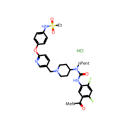 CCCCCN(C(=O)Nc1cc(C(=O)NC)c(F)cc1F)C1CCN(Cc2ccc(Oc3ccc(NS(=O)(=O)CC)cc3)nc2)CC1.Cl